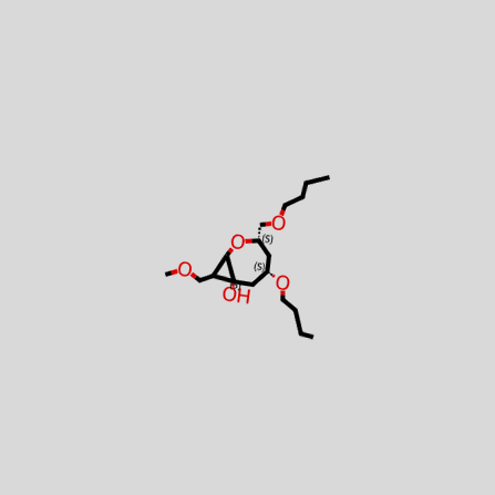 CCCCOC[C@@H]1C[C@H](OCCCC)C[C@]2(O)C(COC)C2O1